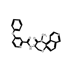 CN1C(=O)[C@@H](NC(=O)c2cc(Oc3ccccc3)ccn2)COc2ccc3cnccc3c21